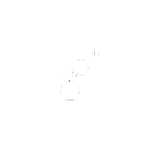 CC1(N2CCC(O)CC2)CCCCCC1